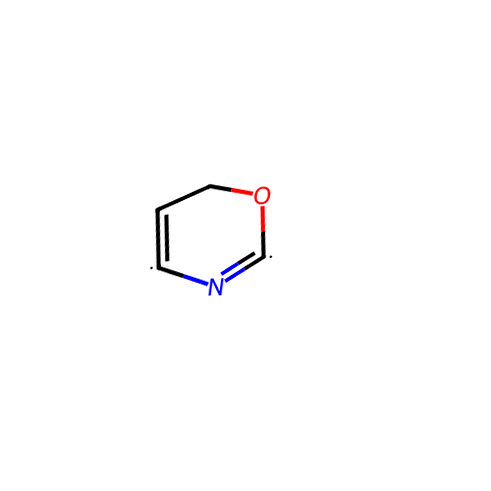 [C]1=CCO[C]=N1